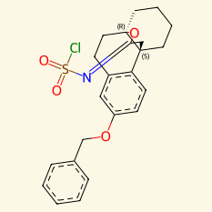 O=S(=O)(Cl)N=C1C[C@]23CCCC[C@]2(CCc2cc(OCc4ccccc4)ccc23)O1